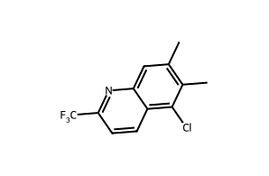 Cc1cc2nc(C(F)(F)F)ccc2c(Cl)c1C